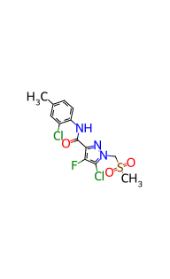 Cc1ccc(NC(=O)c2nn(CS(C)(=O)=O)c(Cl)c2F)c(Cl)c1